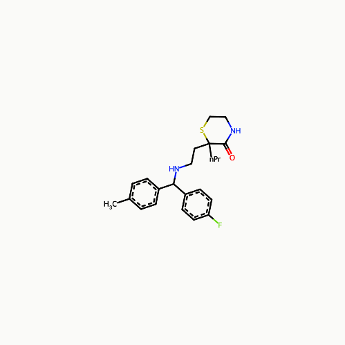 CCCC1(CCNC(c2ccc(C)cc2)c2ccc(F)cc2)SCCNC1=O